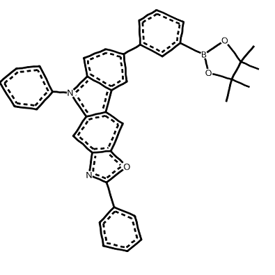 CC1(C)OB(c2cccc(-c3ccc4c(c3)c3cc5oc(-c6ccccc6)nc5cc3n4-c3ccccc3)c2)OC1(C)C